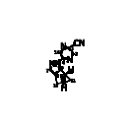 N#Cc1cnc(-n2ncc3c2[C@@H]2C[C@@H]2C3)cn1